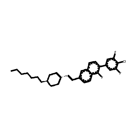 CCCCCCC[C@H]1CC[C@H](CCc2ccc3c(F)c(-c4cc(F)c(Cl)c(F)c4)ccc3c2)CC1